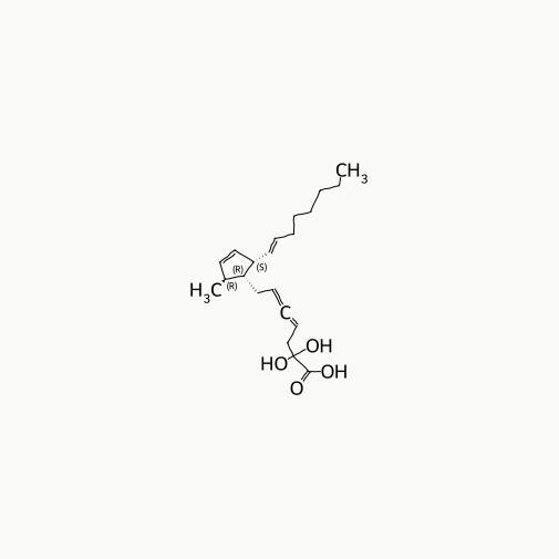 CCCCCCC=C[C@H]1C=C[C@H](C)[C@H]1CC=C=CCC(O)(O)C(=O)O